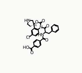 O=C(O)c1ccc(C(=O)NC(Cc2ccccc2)C(=O)N2C(=O)O[C@@]3(CCNC3)c3cc(Cl)ccc32)cc1